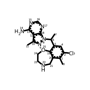 Cc1c(Cl)cc(C(C)n2nc(C)c3c(N)ncnc32)c2c1CNCCO2